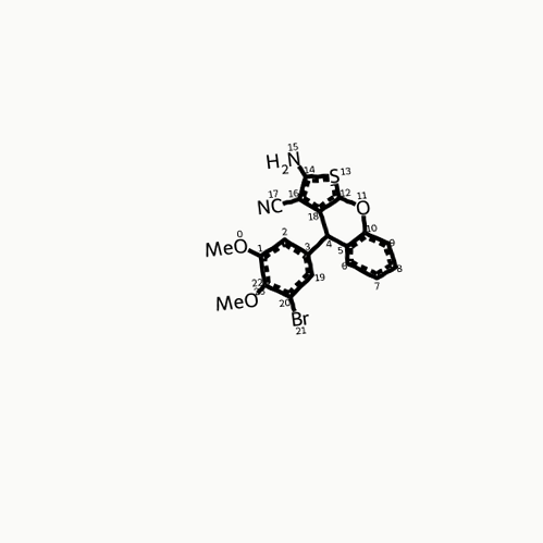 COc1cc(C2c3ccccc3Oc3sc(N)c(C#N)c32)cc(Br)c1OC